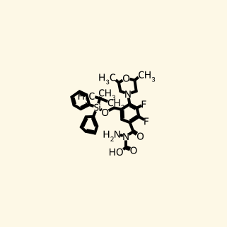 CC1CN(c2c(CO[Si](c3ccccc3)(c3ccccc3)C(C)(C)C)cc(C(=O)N(N)C(=O)O)c(F)c2F)CC(C)O1